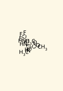 COc1ccc([C@@]23CC[C@@H](NC(=O)Nc4ccc(F)c(F)c4F)C[C@@H]2N(C)CC3)cc1OC